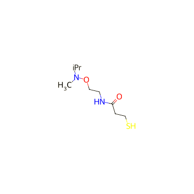 CC(C)N(C)OCCNC(=O)CCS